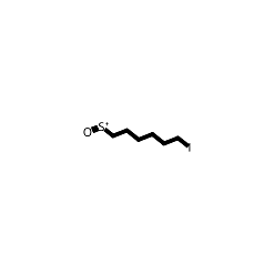 O=[S+]CCCCCCI